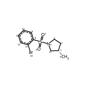 C[C@H]1CCN(S(=O)(=O)c2ccccc2Br)C1